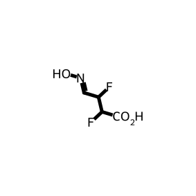 O=C(O)C(F)C(F)C=NO